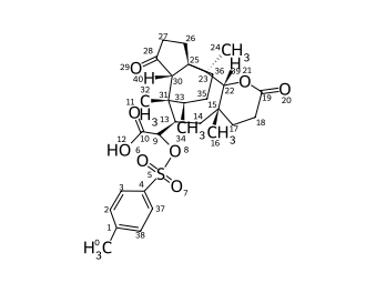 Cc1ccc(S(=O)(=O)OC(C(=O)O)[C@@H]2C[C@@]3(C)CCC(=O)O[C@H]3[C@H](C)[C@]34CCC(=O)[C@H]3[C@]2(C)[C@H](C)CC4)cc1